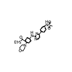 CCSC(=O)c1cc(Nc2nccc(-c3ccc(NS(C)(=O)=O)cc3)n2)ccc1N1CCOCC1